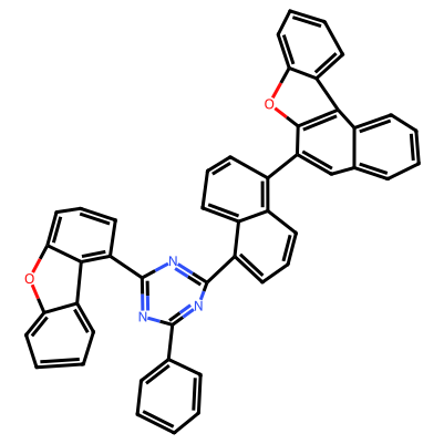 c1ccc(-c2nc(-c3cccc4c(-c5cc6ccccc6c6c5oc5ccccc56)cccc34)nc(-c3cccc4oc5ccccc5c34)n2)cc1